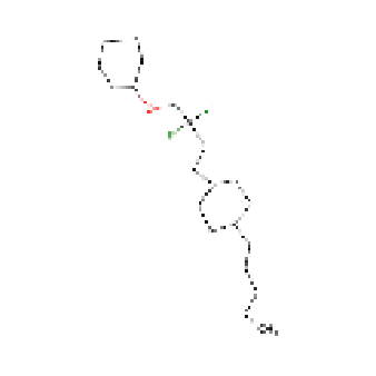 CCCCCC1CCC(CCC(F)(F)COC2CCCCC2)CC1